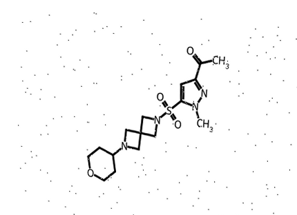 CC(=O)c1cc(S(=O)(=O)N2CC3(CN(C4CCOCC4)C3)C2)n(C)n1